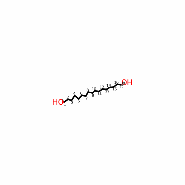 OCCCCCCCCCCCCCCCCCO